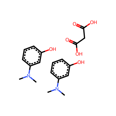 CN(C)c1cccc(O)c1.CN(C)c1cccc(O)c1.O=C(O)CC(=O)O